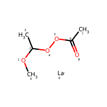 COC(C)OOC(C)=O.[La]